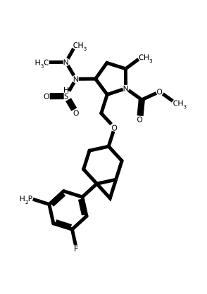 COC(=O)N1C(C)CC(N(N(C)C)[SH](=O)=O)C1COC1CCC2(c3cc(F)cc(P)c3)CC2C1